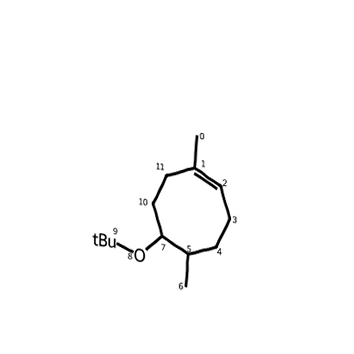 C/C1=C/CCC(C)C(OC(C)(C)C)CC1